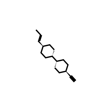 C#C[C@H]1CC[C@H]([C@H]2CC[C@H](/C=C/C)CC2)CC1